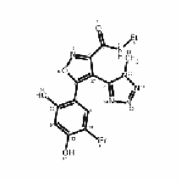 CCNC(=O)c1noc(-c2cc(C(C)C)c(O)cc2O)c1-c1nnnn1C